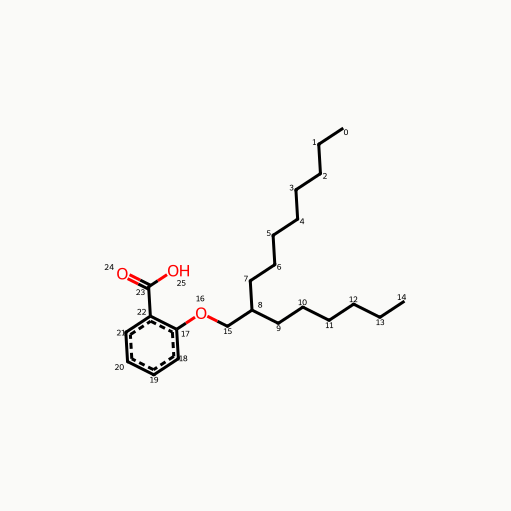 CCCCCCCCC(CCCCCC)COc1ccccc1C(=O)O